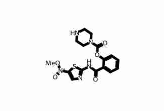 CO[N+](=O)c1cnc(NC(=O)c2ccccc2OC(=O)N2CCNCC2)s1